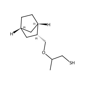 CC(CS)OC[C@@H]1C[C@@H]2CC[C@H]1C2